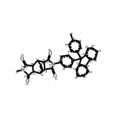 Cc1ccc(C2(c3ccc(N4C(=O)C5C6C=CC(C7C(=O)N(C)C(=O)C67)C5C4=O)cc3)c3ccccc3-c3ccccc32)cc1